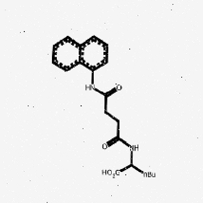 CCCCC(NC(=O)CCC(=O)Nc1cccc2ccccc12)C(=O)O